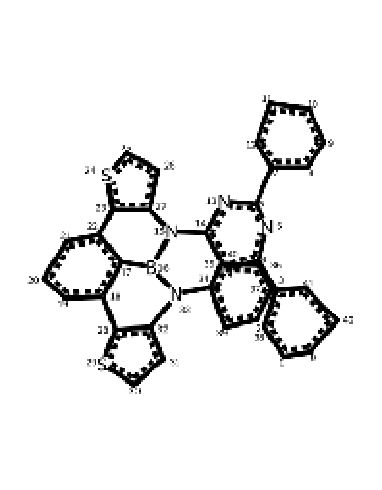 c1ccc(-c2nc(-c3ccccc3)nc(N3B4c5c(cccc5-c5sccc53)-c3sccc3N4c3ccccc3)n2)cc1